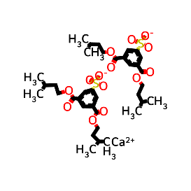 CC(C)CCOC(=O)c1cc(C(=O)OCCC(C)C)cc(S(=O)(=O)[O-])c1.CC(C)CCOC(=O)c1cc(C(=O)OCCC(C)C)cc(S(=O)(=O)[O-])c1.[Ca+2]